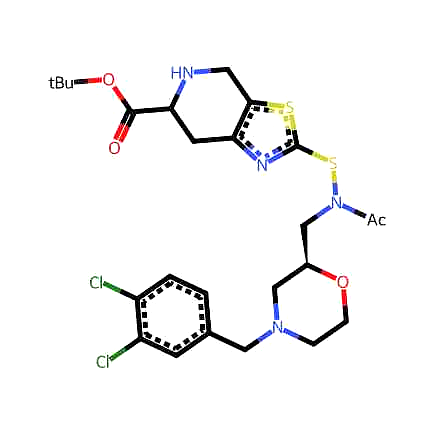 CC(=O)N(C[C@@H]1CN(Cc2ccc(Cl)c(Cl)c2)CCO1)Sc1nc2c(s1)CNC(C(=O)OC(C)(C)C)C2